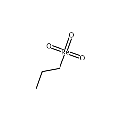 CC[CH2][Re](=[O])(=[O])=[O]